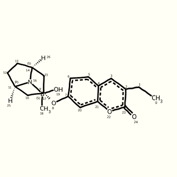 CCc1cc2ccc(O[C@@H]3C[C@H]4CC[C@@H](C3)N4B(C)O)cc2oc1=O